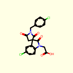 O=C(O)CN1C(=O)C2(CC(=O)N(Cc3ccc(Cl)cc3)C2=O)c2cc(Cl)ccc21